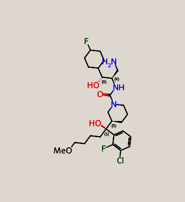 COCCCC[C@@](O)(c1cccc(Cl)c1F)[C@@H]1CCCN(C(=O)N[C@H](CN)[C@H](O)C2CCC(F)CC2)C1